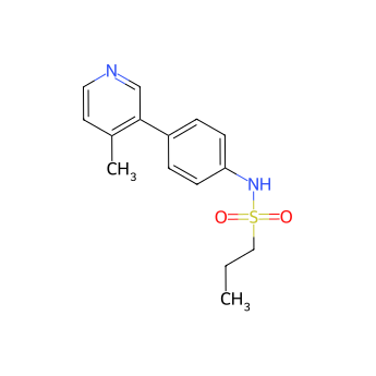 CCCS(=O)(=O)Nc1ccc(-c2cnccc2C)cc1